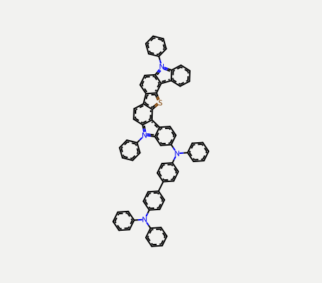 c1ccc(N(c2ccccc2)c2ccc(-c3ccc(N(c4ccccc4)c4ccc5c6c7sc8c(ccc9c8c8ccccc8n9-c8ccccc8)c7ccc6n(-c6ccccc6)c5c4)cc3)cc2)cc1